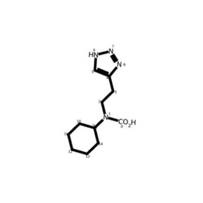 O=C(O)N(CCc1c[nH]nn1)[C]1CCCCC1